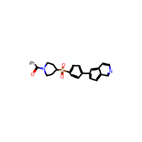 CC(C)C(=O)N1CCC(S(=O)(=O)c2ccc(-c3ccc4cnccc4c3)cc2)CC1